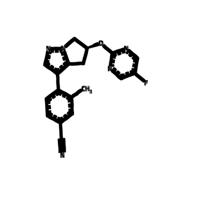 Cc1cc(C#N)ccc1-c1cnn2c1C[C@H](Oc1ncc(F)cn1)C2